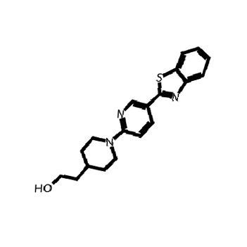 OCCC1CCN(c2ccc(-c3nc4ccccc4s3)cn2)CC1